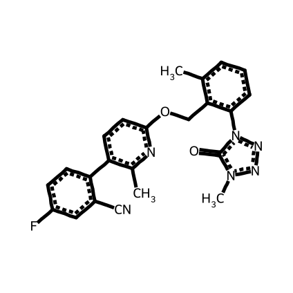 Cc1cccc(-n2nnn(C)c2=O)c1COc1ccc(-c2ccc(F)cc2C#N)c(C)n1